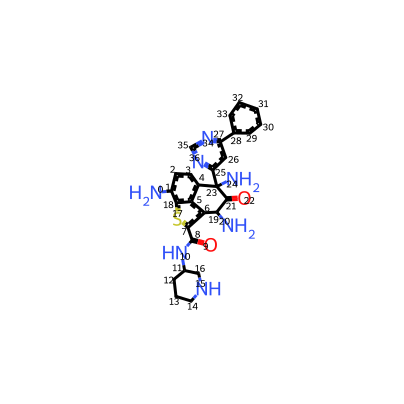 Nc1ccc2c3c(c(C(=O)NC4CCCNC4)sc13)C(N)C(=O)C2(N)c1cc(-c2ccccc2)ncn1